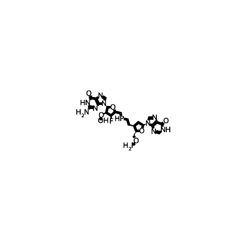 Nc1nc2c(ncn2[C@@H]2OC(CPCC[C@H]3C[C@H](n4cnc5c(=O)[nH]cnc54)O[C@@H]3COP)[C@@H](F)[C@H]2OO)c(=O)[nH]1